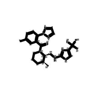 Cc1ccc(-n2nccn2)c(C(=O)N2CCC[C@@H](C)[C@H]2CNc2nc(C(F)(F)F)cs2)c1